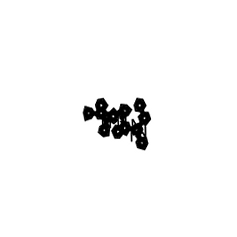 c1ccc(-c2cccc(-c3nc(-c4ccccc4)nc(-c4cc(-n5c6ccccc6c6cc7c8c9ccccc9c(-c9ccccc9)cc8n(-c8ccccc8)c7cc65)c5ccccc5c4)n3)c2)cc1